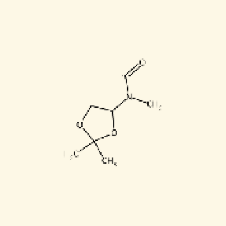 CN([C]=O)C1COC(C)(C)O1